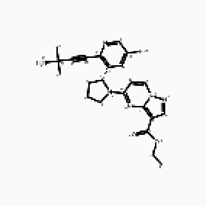 CCOC(=O)c1cnn2ccc(N3CCC[C@@H]3c3cc(F)cnc3C#CC(C)(C)N)nc12